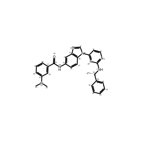 C[C@H](Nc1nccc(-n2cnc3cc(NC(=O)c4cccc(N(C)C)c4)ccc32)n1)c1ccccc1